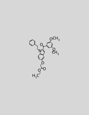 CCOC(=O)COc1ccc2c(c1)cc(C(=O)c1cc(OC)cc(OC)c1)n2CCc1ccccc1